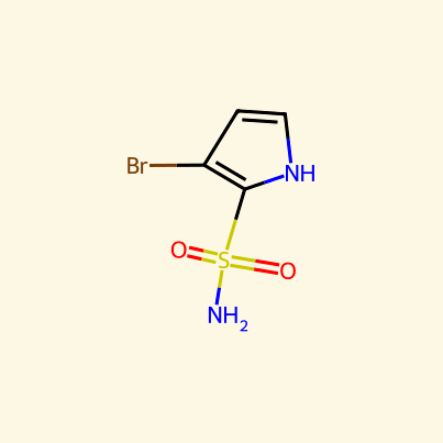 NS(=O)(=O)c1[nH]ccc1Br